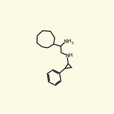 NC(CNC1CC1c1ccccc1)C1CCCCCCC1